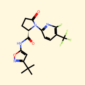 CC(C)(C)c1cc(NC(=O)[C@@H]2CCC(=O)N2c2ccc(C(F)(F)F)c(F)n2)on1